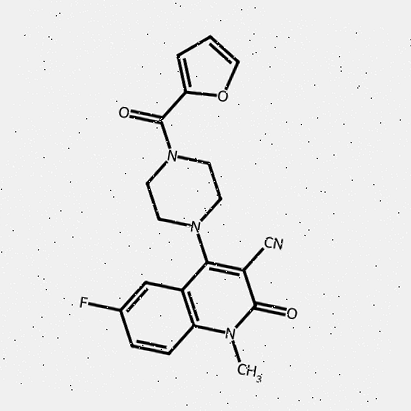 Cn1c(=O)c(C#N)c(N2CCN(C(=O)c3ccco3)CC2)c2cc(F)ccc21